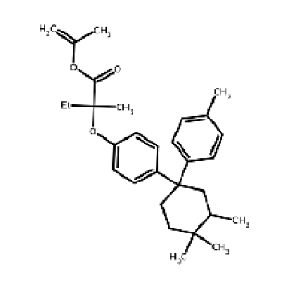 C=C(C)OC(=O)C(C)(CC)Oc1ccc(C2(c3ccc(C)cc3)CCC(C)(C)C(C)C2)cc1